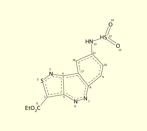 CCOC(=O)c1snc2c1nnc1ccc(N[SH](=O)=O)cc12